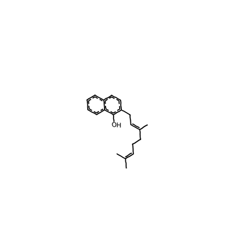 CC(C)=CCC/C(C)=C/Cc1ccc2ccccc2c1O